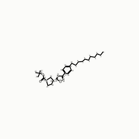 CCCCCCCCCCCc1ccc(-c2noc([C@@H]3CCN(C(=O)OC(C)(C)C)C3)n2)cc1